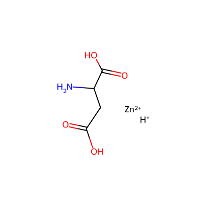 NC(CC(=O)O)C(=O)O.[H+].[Zn+2]